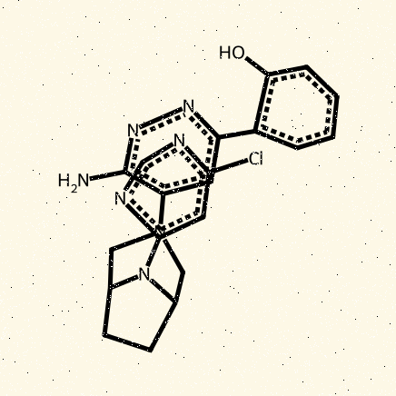 Nc1nnc(-c2ccccc2O)cc1N1CC2CCC(C1)N2c1cc(Cl)ncn1